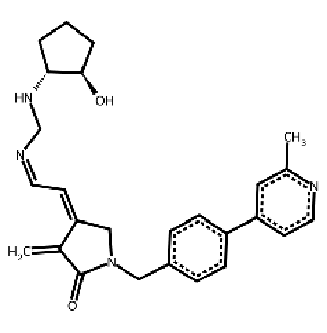 C=C1C(=O)N(Cc2ccc(-c3ccnc(C)c3)cc2)C/C1=C/C=N\CN[C@@H]1CCC[C@H]1O